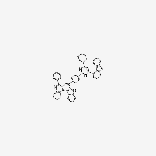 c1ccc(-c2nc(-c3ccc(-c4cc5c(-c6ccccc6)nc6ccccc6c5c5c4oc4ccccc45)cc3)nc(-c3cccc4sc5ccccc5c34)n2)cc1